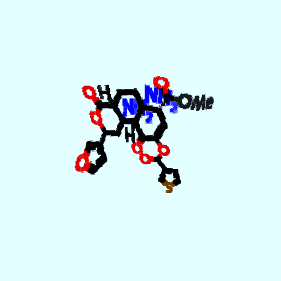 COC(=O)[C@@H]1C=C(OC(=O)c2ccsc2)C(=O)[C@H]2[C@@]1(N)CC[C@H]1C(=O)O[C@H](c3ccoc3)C[C@]21N